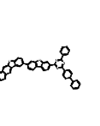 C1=CC(c2ccccc2)CC=C1c1nc(-c2ccccc2)nc(-c2ccc3c(c2)oc2cc(-c4ccc5oc6cc7ccccc7cc6c5c4)ccc23)n1